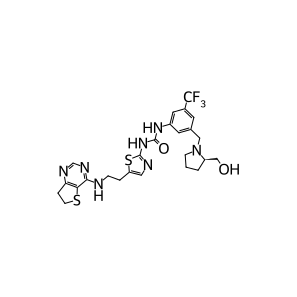 O=C(Nc1cc(CN2CCC[C@@H]2CO)cc(C(F)(F)F)c1)Nc1ncc(CCNc2ncnc3c2SCC3)s1